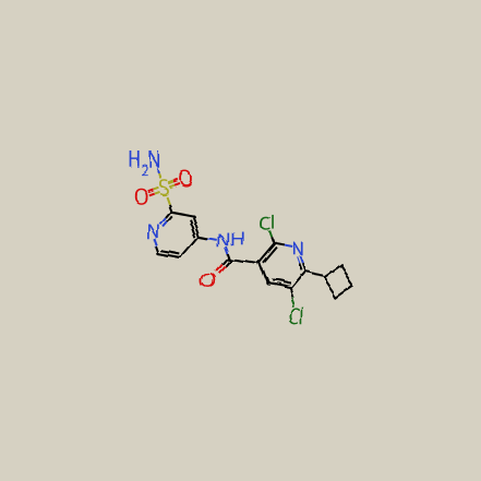 NS(=O)(=O)c1cc(NC(=O)c2cc(Cl)c(C3CCC3)nc2Cl)ccn1